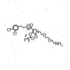 NCCOCCOCCN1CC(C(=O)NCCCc2ccc(Cl)c(Cl)c2)=C(OC(=O)C(F)(F)F)C1=O